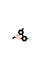 CCOP1(=O)Oc2ccc(Cl)cc2-c2cc(C)ccc21